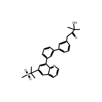 CC(C)(O)C(=O)Cc1cccc(-c2cccc(-c3cc(C(C)(C)S(C)(=O)=O)cc4cccnc34)c2)c1